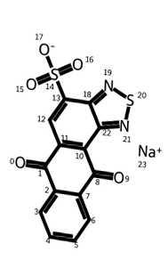 O=C1c2ccccc2C(=O)c2c1cc(S(=O)(=O)[O-])c1nsnc21.[Na+]